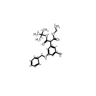 CCOC(=O)C(C(=O)OC(C)(C)C)c1cc(Br)cc(OCc2ccccc2)c1